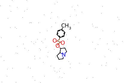 Cc1ccc(S(=O)(=O)OC2CCN3CCCC23)cc1